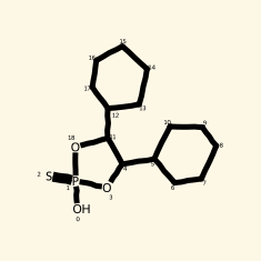 OP1(=S)OC(C2CCCCC2)C(C2CCCCC2)O1